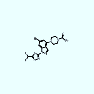 CC(C)C(=O)N1CCN(c2cc(Br)cc3c2cnn3-c2nnc(C(F)F)s2)CC1